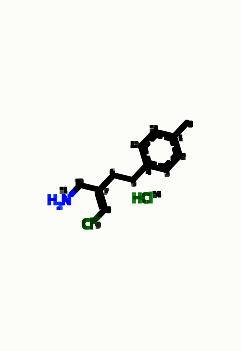 Cc1ccc(CCC(=CCl)CN)cc1.Cl